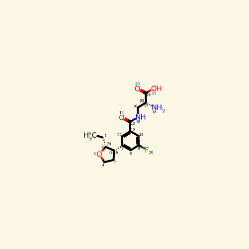 CC[C@H]1OCC[C@H]1c1cc(F)cc(C(=O)NC[C@@H](N)C(=O)O)c1